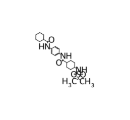 CC(C)S(=O)(=O)NC1CCC(C(=O)Nc2ccc(NC(=O)C3CCCCC3)cc2)CC1